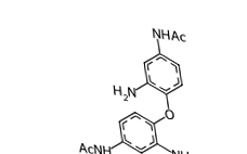 CC(=O)Nc1ccc(Oc2ccc(NC(C)=O)cc2N)c(N)c1